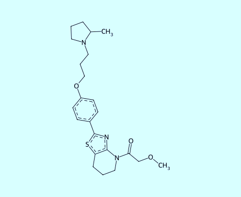 COCC(=O)N1CCCc2sc(-c3ccc(OCCCN4CCCC4C)cc3)nc21